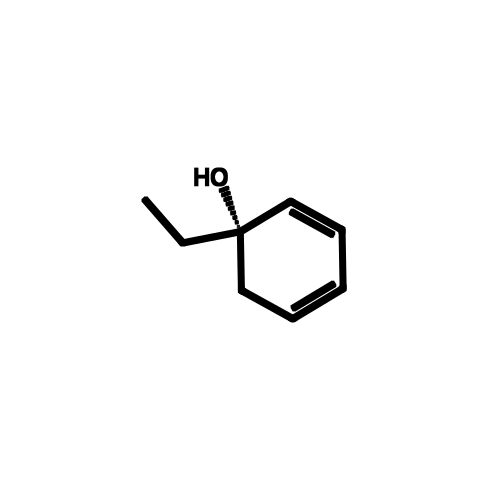 CC[C@@]1(O)C=CC=CC1